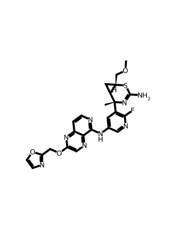 COC[C@]12C[C@H]1[C@@](C)(c1cc(Nc3nccc4nc(OCc5ncco5)cnc34)cnc1F)N=C(N)S2